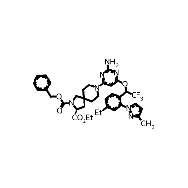 CCOC(=O)[C@@H]1CC2(CCN(c3cc(OC(c4ccc(CC)cc4-n4ccc(C)n4)C(F)(F)F)nc(N)n3)CC2)CN1C(=O)OCc1ccccc1